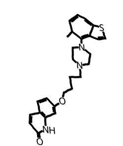 CC1C=CC=c2sccc2=C1N1CCN(CCCCOc2ccc3ccc(=O)[nH]c3c2)CC1